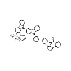 CC1(C)c2ccccc2-c2c1ccc1c3ccccc3n(-c3ccc4c(c3)c3ccccc3n4-c3cccc(-c4ccc5c(c4)c4cccc6c7ccccc7c(=O)n5c64)c3)c21